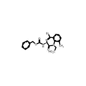 CCC1=N[C@H](NC(=O)OCc2ccccc2)C(=O)N(CC(=O)O)c2c(C)cccc21